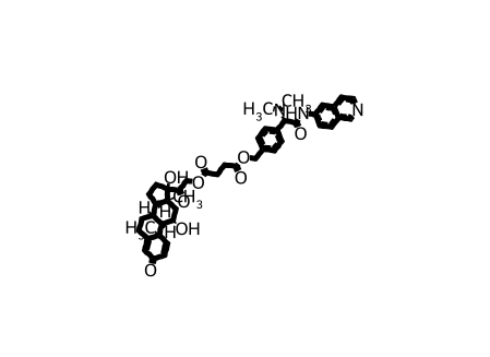 CN(C)[C@@H](C(=O)Nc1ccc2cnccc2c1)c1ccc(COC(=O)CCC(=O)OCC(=O)[C@@]2(O)CC[C@H]3[C@@H]4CCC5=CC(=O)C=C[C@]5(C)[C@H]4[C@@H](O)C[C@@]32C)cc1